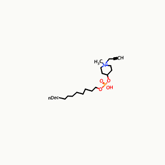 C#CC[N+]1(C)CCC(OP(=O)(O)OCCCCCCCCCCCCCCCCCC)CC1